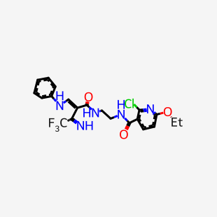 CCOc1ccc(C(=O)NCCNC(=O)/C(=C/Nc2ccccc2)C(=N)C(F)(F)F)c(Cl)n1